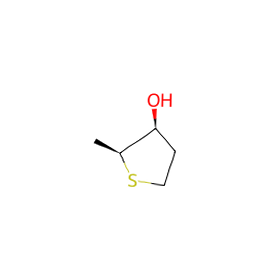 C[C@@H]1SCC[C@@H]1O